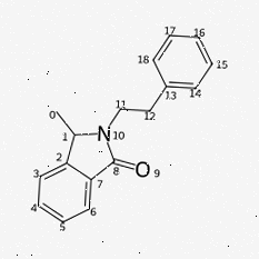 CC1c2ccccc2C(=O)N1CCc1ccccc1